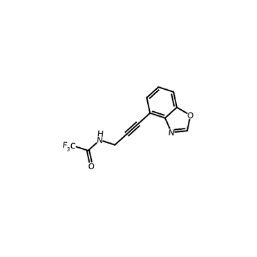 O=C(NCC#Cc1cccc2ocnc12)C(F)(F)F